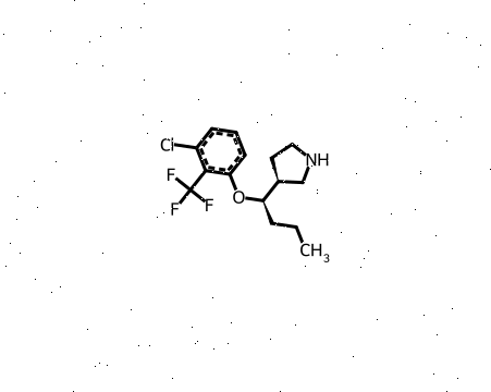 CCC[C@@H](Oc1cccc(Cl)c1C(F)(F)F)[C@H]1CCNC1